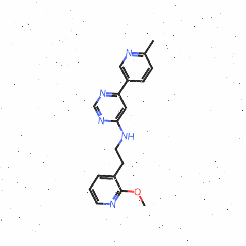 COc1ncccc1CCNc1cc(-c2ccc(C)nc2)ncn1